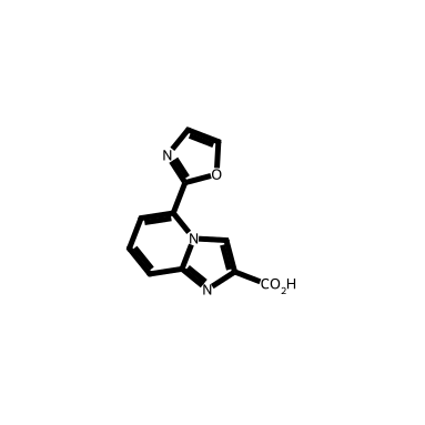 O=C(O)c1cn2c(-c3ncco3)cccc2n1